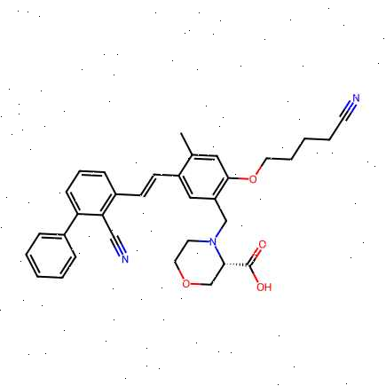 Cc1cc(OCCCCC#N)c(CN2CCOC[C@H]2C(=O)O)cc1/C=C/c1cccc(-c2ccccc2)c1C#N